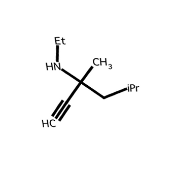 C#CC(C)(CC(C)C)NCC